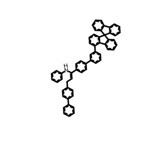 C(/Cc1ccc(-c2ccccc2)cc1)=C(/Nc1ccccc1)c1ccc(-c2cccc(-c3cccc4c3-c3ccccc3C43c4ccccc4-c4ccccc43)c2)cc1